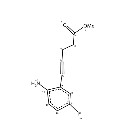 COC(=O)CCC#Cc1cc(F)ccc1N